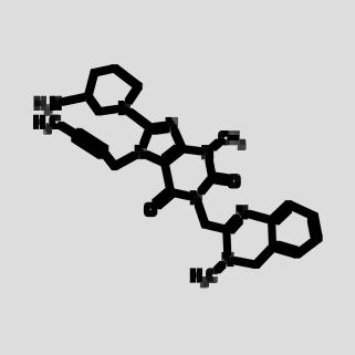 CC#CCn1c(N2CCCC(N)C2)nc2c1c(=O)n(CC1=Nc3ccccc3CN1C)c(=O)n2C